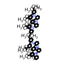 CC(C)(C)c1ccc2c(c1)c1ccccc1n2-c1cccc2c1c1cccc3c4c(-n5c6ccc(CC(C)(C)c7ccc8c(c7)c7cc(C(C)(C)C)ccc7n8-c7cccc8c7c7cccc9c%10c(-n%11c%12ccc(C(C)(C)C)cc%12c%12cc(C(C)(C)C)ccc%12%11)cccc%10n8c97)cc6c6cc(C(C)(C)C)ccc65)cccc4n2c13